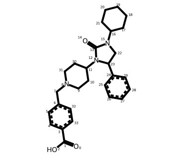 O=C(O)c1ccc(CN2CCC(N3C(=O)N(C4CCCCC4)CC3c3ccccc3)CC2)cc1